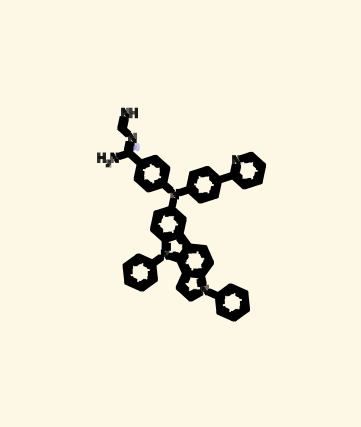 N=C/N=C(\N)c1ccc(N(c2ccc(-c3ccccn3)cc2)c2ccc3c(c2)c2ccc4c(ccn4-c4ccccc4)c2n3-c2ccccc2)cc1